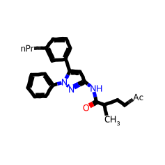 CCCc1cccc(-c2cc(NC(=O)C(C)CCC(C)=O)nn2-c2ccccc2)c1